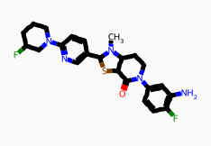 CN1C(c2ccc(N3CCCC(F)C3)nc2)SC2C(=O)N(c3ccc(F)c(N)c3)CCC21